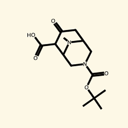 CN1C2CC(=O)C(C(=O)O)C1CN(C(=O)OC(C)(C)C)C2